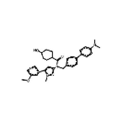 COc1cncc(-c2cc(N(Cc3ccc(-c4ccc(N(C)C)cc4)cc3)C(=O)C3CCC(O)CC3)nn2C)c1